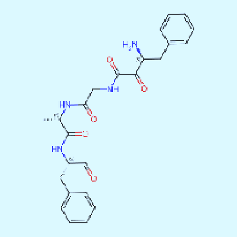 C[C@H](NC(=O)CNC(=O)C(=O)[C@@H](N)Cc1ccccc1)C(=O)N[C@H](C=O)Cc1ccccc1